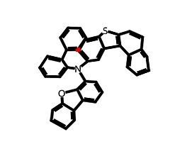 c1ccc(-c2ccccc2N(c2ccc3sc4ccc5ccccc5c4c3c2)c2cccc3c2oc2ccccc23)cc1